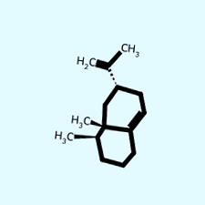 C=C(C)[C@@H]1CC=C2CCC[C@@H](C)[C@]2(C)C1